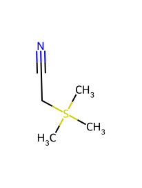 CS(C)(C)CC#N